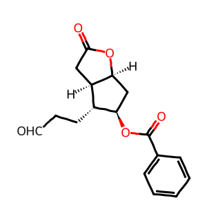 O=CCC[C@@H]1[C@H]2CC(=O)O[C@H]2C[C@H]1OC(=O)c1ccccc1